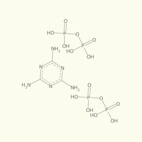 Nc1nc(N)nc(N)n1.O=P(O)(O)OP(=O)(O)O.O=P(O)(O)OP(=O)(O)O